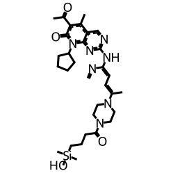 C=N/C(=C\C=C(/C)N1CCN(C(=O)CCC[Si](C)(C)O)CC1)Nc1ncc2c(C)c(C(C)=O)c(=O)n(C3CCCC3)c2n1